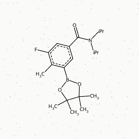 Cc1c(F)cc(C(=O)N(C(C)C)C(C)C)cc1B1OC(C)(C)C(C)(C)O1